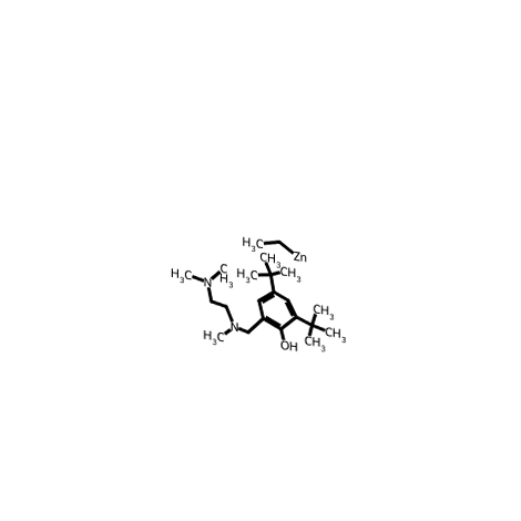 CN(C)CCN(C)Cc1cc(C(C)(C)C)cc(C(C)(C)C)c1O.C[CH2][Zn]